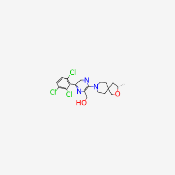 C[C@H]1CC2(CCN(c3ncc(-c4c(Cl)ccc(Cl)c4Cl)nc3CO)CC2)CO1